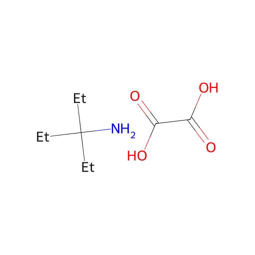 CCC(N)(CC)CC.O=C(O)C(=O)O